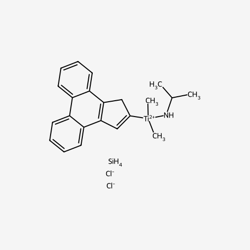 CC(C)[NH][Ti+2]([CH3])([CH3])[C]1=Cc2c(c3ccccc3c3ccccc23)C1.[Cl-].[Cl-].[SiH4]